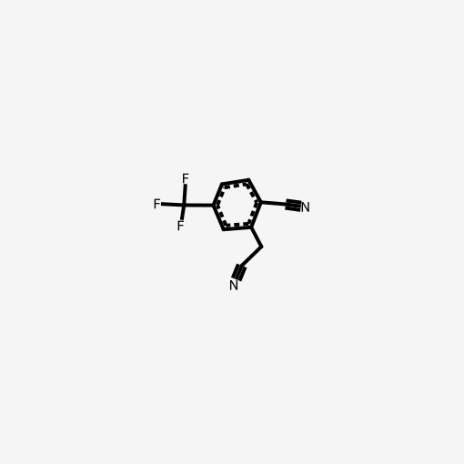 N#CCc1cc(C(F)(F)F)ccc1C#N